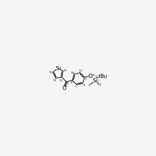 CC(C)(C)[Si](C)(C)Oc1ccc(C(=O)c2ccsc2)cc1